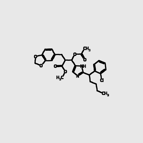 CCCCC(c1ncc(C(OC(C)=O)C(Cc2ccc3c(c2)OCO3)C(=O)OC)[nH]1)c1ccccc1Cl